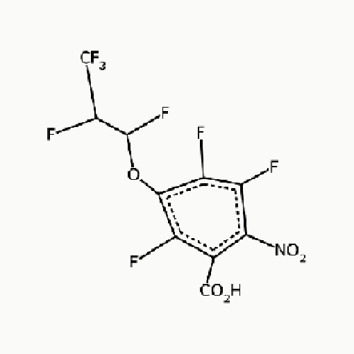 O=C(O)c1c(F)c(OC(F)C(F)C(F)(F)F)c(F)c(F)c1[N+](=O)[O-]